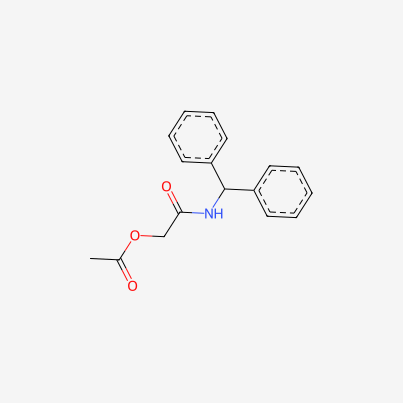 CC(=O)OCC(=O)NC(c1ccccc1)c1ccccc1